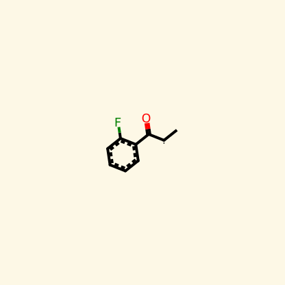 C[CH]C(=O)c1ccccc1F